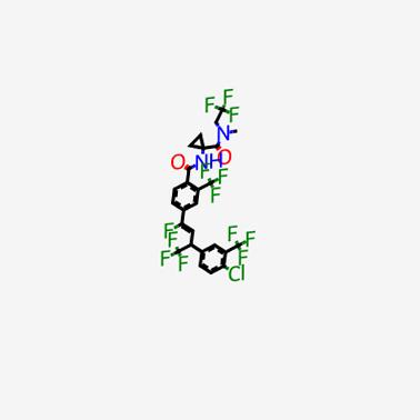 CN(CC(F)(F)F)C(=O)C1(NC(=O)c2ccc(/C(F)=C/C(c3ccc(Cl)c(C(F)(F)F)c3)C(F)(F)F)cc2C(F)(F)F)CC1